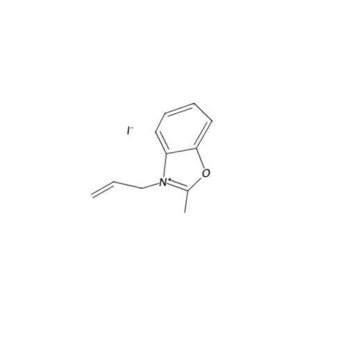 C=CC[n+]1c(C)oc2ccccc21.[I-]